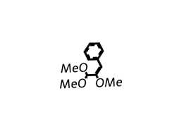 CO[C](OC)C(=Cc1ccccc1)OC